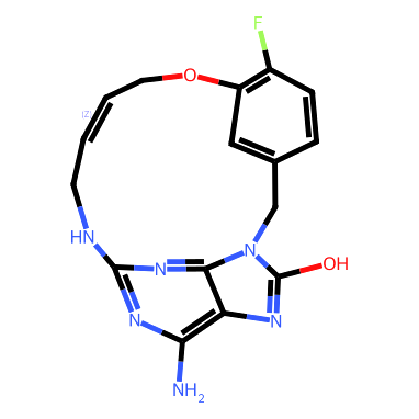 Nc1nc2nc3c1nc(O)n3Cc1ccc(F)c(c1)OC/C=C\CN2